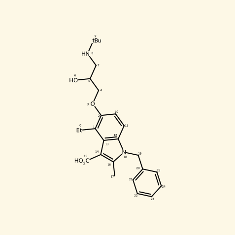 CCc1c(OCC(O)CNC(C)(C)C)ccc2c1c(C(=O)O)c(C)n2Cc1ccccc1